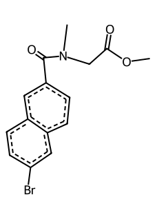 COC(=O)CN(C)C(=O)c1ccc2cc(Br)ccc2c1